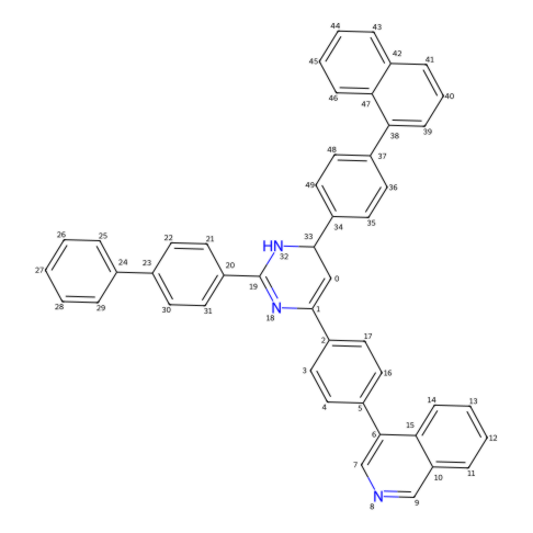 C1=C(c2ccc(-c3cncc4ccccc34)cc2)N=C(c2ccc(-c3ccccc3)cc2)NC1c1ccc(-c2cccc3ccccc23)cc1